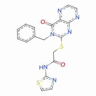 O=C(CSc1nc2nccnc2c(=O)n1Cc1ccccc1)Nc1nccs1